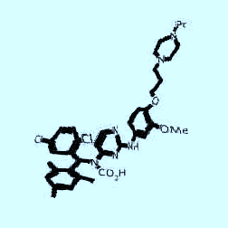 COc1cc(Nc2nccc(N(C(=O)O)C(c3cc(Cl)ccc3Cl)c3c(C)cc(C)cc3C)n2)ccc1OCCCN1CCN(C(C)C)CC1